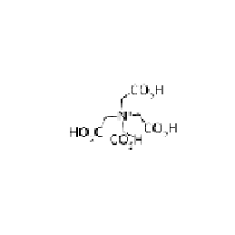 O=C(O)C[N+](CC(=O)O)(CC(=O)O)CC(=O)O